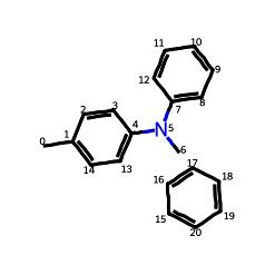 Cc1ccc(N(C)c2ccccc2)cc1.c1ccccc1